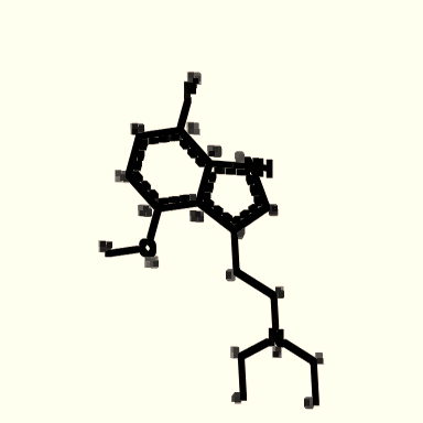 CCN(CC)CCc1c[nH]c2c(F)ccc(OC)c12